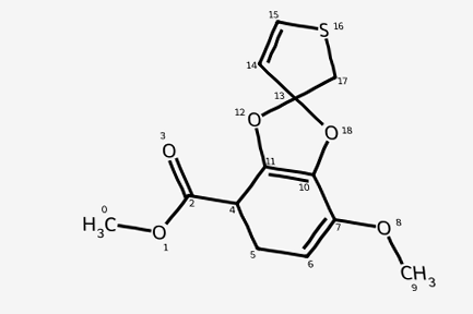 COC(=O)C1CC=C(OC)C2=C1OC1(C=CSC1)O2